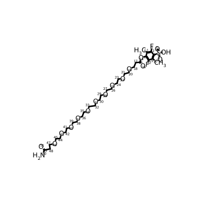 Cc1c(F)c(S(=O)(=O)O)c(C)c(F)c1OC(=O)CCOCCOCCOCCOCCOCCOCCOCCOCCOCCOCCC(N)=O